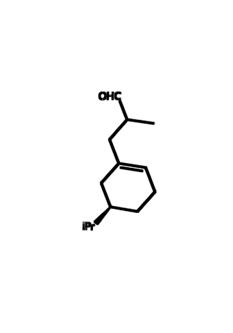 CC(C=O)CC1=CCC[C@@H](C(C)C)C1